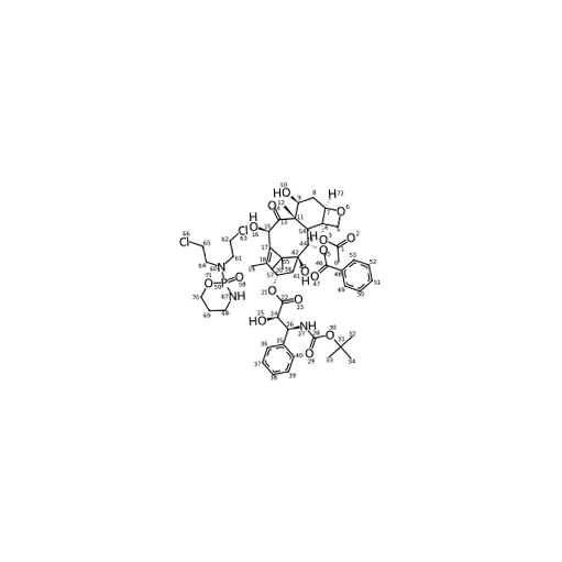 CC(=O)O[C@@]12CO[C@@H]1C[C@H](O)[C@@]1(C)C(=O)[C@H](O)C3=C(C)[C@@H](OC(=O)[C@H](O)[C@@H](NC(=O)OC(C)(C)C)c4ccccc4)C[C@@](O)([C@@H](OC(=O)c4ccccc4)[C@H]21)C3(C)C.O=P1(N(CCCl)CCCl)NCCCO1